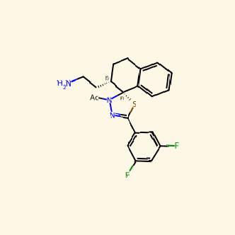 CC(=O)N1N=C(c2cc(F)cc(F)c2)S[C@]12c1ccccc1CC[C@H]2CCN